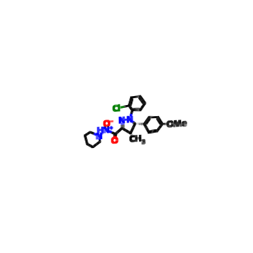 COc1ccc([C@@H]2[C@H](C)C(C(=O)[NH+]([O-])N3CCCCC3)=NN2c2ccccc2Cl)cc1